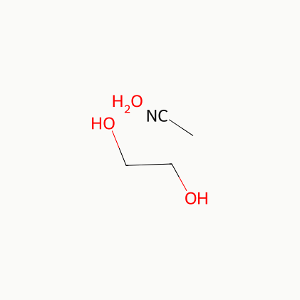 CC#N.O.OCCO